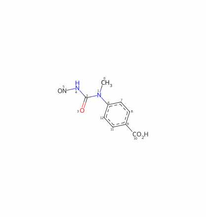 CN(C(=O)NN=O)c1ccc(C(=O)O)cc1